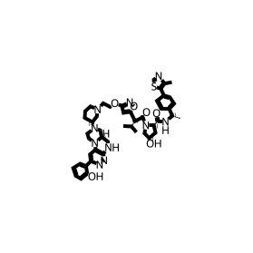 Cc1ncsc1-c1ccc([C@H](C)NC(=O)[C@@H]2C[C@@H](O)CN2C(=O)[C@@H](c2cc(OCCN3CCC[C@H](N4CCN5c6cc(-c7ccccc7O)nnc6NC[C@H]5C4)C3)no2)C(C)C)cc1